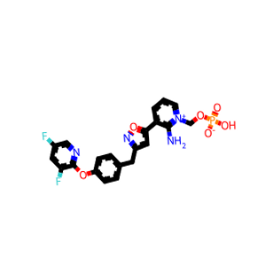 Nc1c(-c2cc(Cc3ccc(Oc4ncc(F)cc4F)cc3)no2)ccc[n+]1COP(=O)([O-])O